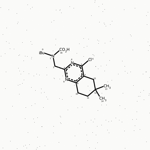 CCC(C)N(Cc1nc(Cl)c2c(n1)CCC(C)(C)C2)C(=O)O